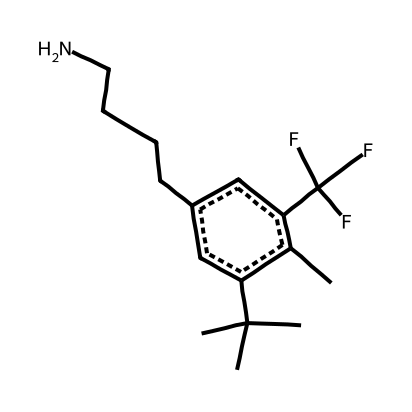 Cc1c(C(C)(C)C)cc(CCCCN)cc1C(F)(F)F